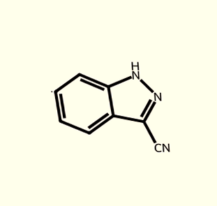 N#Cc1n[nH]c2c[c]ccc12